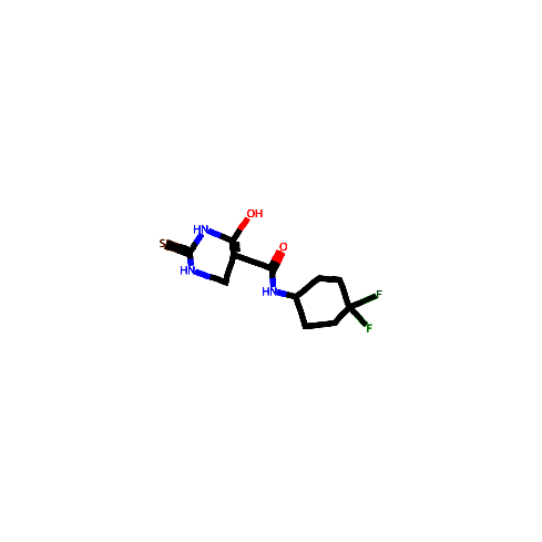 O=C(NC1CCC(F)(F)CC1)C1=C(O)NC(=S)NC1